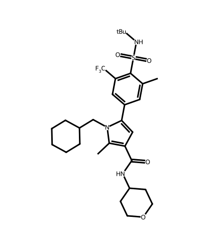 Cc1cc(-c2cc(C(=O)NC3CCOCC3)c(C)n2CC2CCCCC2)cc(C(F)(F)F)c1S(=O)(=O)NC(C)(C)C